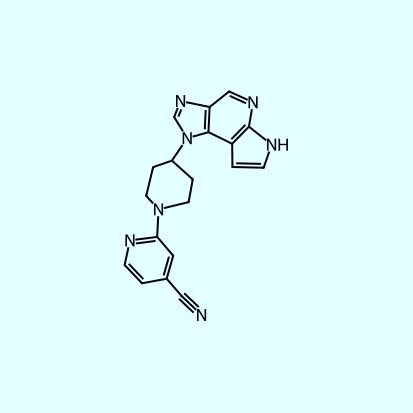 N#Cc1ccnc(N2CCC(n3cnc4cnc5[nH]ccc5c43)CC2)c1